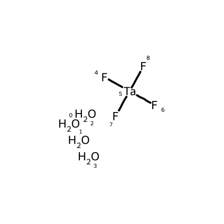 O.O.O.O.[F][Ta]([F])([F])[F]